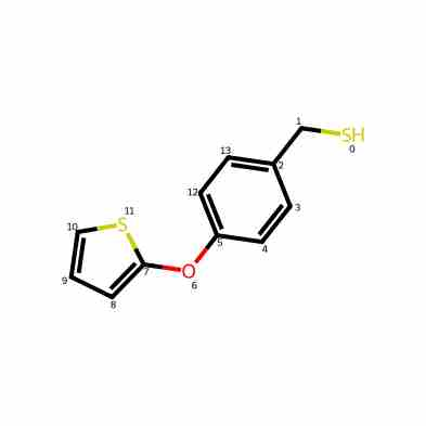 SCc1ccc(Oc2cccs2)cc1